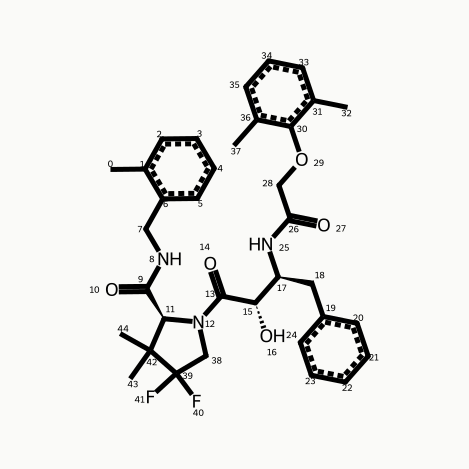 Cc1ccccc1CNC(=O)[C@H]1N(C(=O)[C@@H](O)[C@H](Cc2ccccc2)NC(=O)COc2c(C)cccc2C)CC(F)(F)C1(C)C